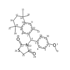 COc1ccc(C(c2cc3c(cc2C)C(C)(C)CCC3(C)C)N2C(=O)CSC2=O)cc1